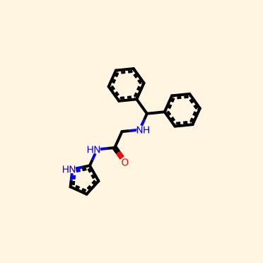 O=C(CNC(c1ccccc1)c1ccccc1)Nc1ccc[nH]1